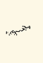 COC(=O)CCCCc1nc(C2CC2)co1